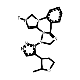 CC1OCCC1c1cnnn1N1CN=C2c3ccccc3N3CN(F)C=C3N21